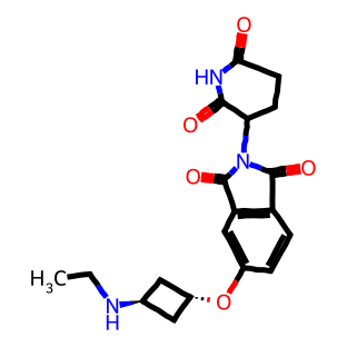 CCN[C@H]1C[C@H](Oc2ccc3c(c2)C(=O)N(C2CCC(=O)NC2=O)C3=O)C1